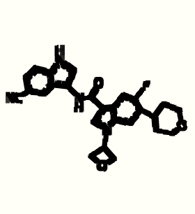 N#Cc1ccc2[nH]cc(NC(=O)c3cn(C4COC4)c4cc(C5=CCOCC5)c(F)cc34)c2c1